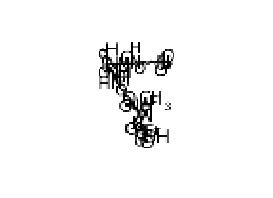 CC[C@@]1(O)C(=O)OCc2c1cc1n(c2=O)Cc2c-1nc1cc(F)c(C)cc1c2CNC(=O)OCCOCNC(=O)CNC(=O)[C@H](Cc1ccccc1)NC(=O)CNC(=O)CNC(=O)CCCCCN1C(=O)C=CC1=O